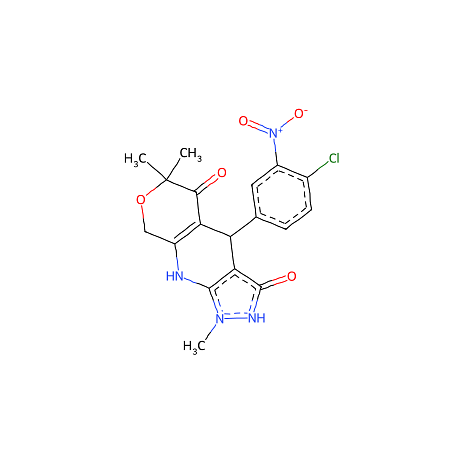 Cn1[nH]c(=O)c2c1NC1=C(C(=O)C(C)(C)OC1)C2c1ccc(Cl)c([N+](=O)[O-])c1